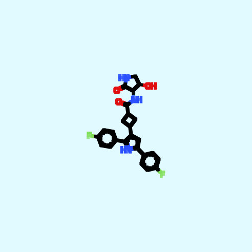 O=C(N[C@@H]1C(=O)NC[C@H]1O)C1CC(c2cc(-c3ccc(F)cc3)[nH]c2-c2ccc(F)cc2)C1